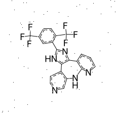 FC(F)(F)c1ccc(C(F)(F)F)c(-c2nc3c([nH]2)-c2ccncc2Nc2ncccc2-3)c1